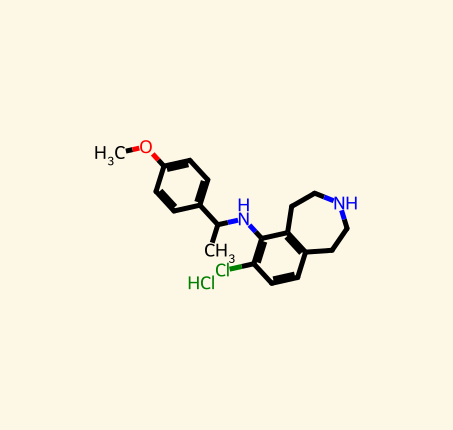 COc1ccc(C(C)Nc2c(Cl)ccc3c2CCNCC3)cc1.Cl